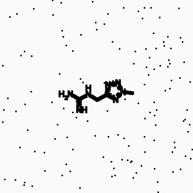 Cn1nnc(CNC(=N)N)n1